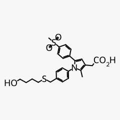 Cc1c(CC(=O)O)cc(-c2ccc(S(C)(=O)=O)cc2)n1-c1ccc(CSCCCCO)cc1